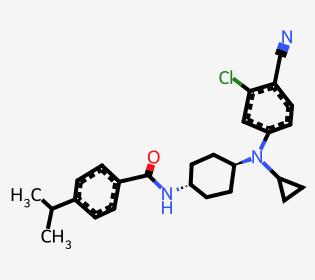 CC(C)c1ccc(C(=O)N[C@H]2CC[C@H](N(c3ccc(C#N)c(Cl)c3)C3CC3)CC2)cc1